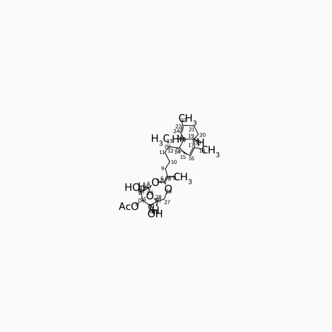 CC(=O)O[C@@H]1[C@@H](O)[C@@H]2O[C@@H]([C@H](C)CCC[C@H](C)[C@@H]3CC=C(C)[C@H]4CCC(C)=C[C@@H]34)OC[C@@H](O2)[C@H]1O